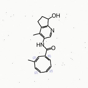 CC1=C/C(C(=O)Nc2cnc3c(c2C)CCC3O)=C\C=C/C=C\1